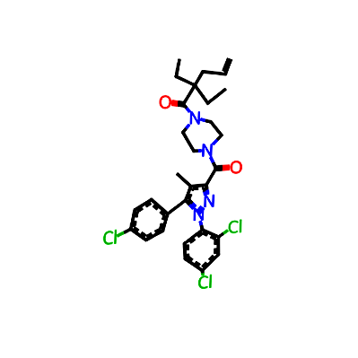 C=CCC(CC)(CC)C(=O)N1CCN(C(=O)c2nn(-c3ccc(Cl)cc3Cl)c(-c3ccc(Cl)cc3)c2C)CC1